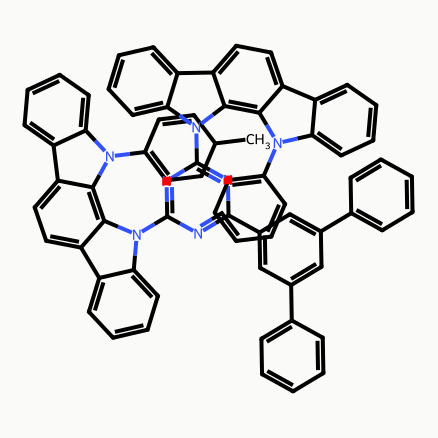 CC1C=CC(n2c3ccccc3c3ccc4c5ccccc5n(-c5nc(-c6cc(-c7ccccc7)cc(-c7ccccc7)c6)nc(-n6c7ccccc7c7ccc8c9ccccc9n(-c9ccccc9)c8c76)n5)c4c32)=CC1